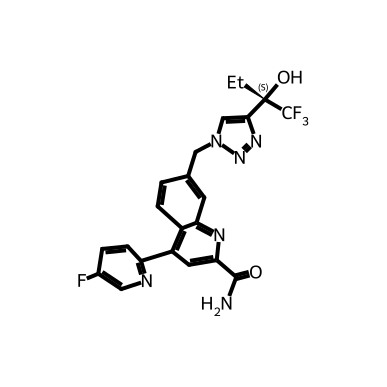 CC[C@](O)(c1cn(Cc2ccc3c(-c4ccc(F)cn4)cc(C(N)=O)nc3c2)nn1)C(F)(F)F